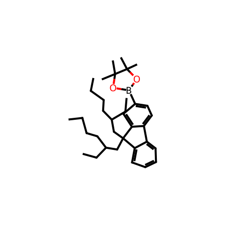 CCCCC(CC)CC1(CC(CC)CCCC)c2ccccc2-c2ccc(B3OC(C)(C)C(C)(C)O3)cc21